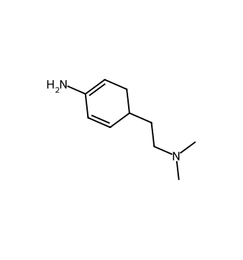 CN(C)CCC1C=CC(N)=CC1